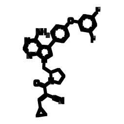 N#CC(=CC1CC1)C(=O)N1CCCC1Cn1cc(-c2ccc(Oc3cc(F)cc(F)c3)cc2)c2c(N)ncnc21